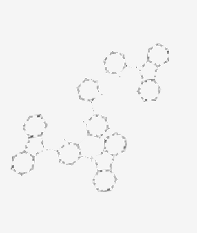 c1cc(-c2cccc(-c3nc(-n4c5ccccc5c5ccccc54)ccc3-n3c4ccccc4c4ccccc43)n2)nc(-c2cccc(-n3c4ccccc4c4ccccc43)n2)c1